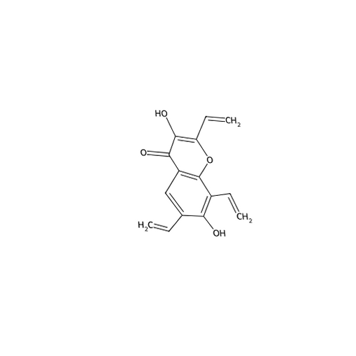 C=Cc1cc2c(=O)c(O)c(C=C)oc2c(C=C)c1O